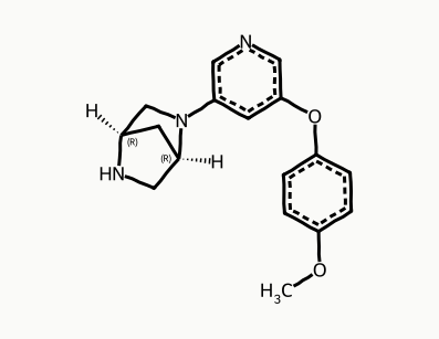 COc1ccc(Oc2cncc(N3C[C@H]4C[C@@H]3CN4)c2)cc1